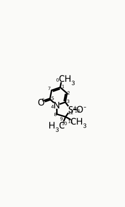 Cc1cc2n(c(=O)c1)CC(C)(C)[S+]2[O-]